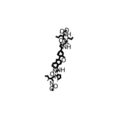 CC[C@H](C)C(/C=N/C(=O)OC)C(=O)N1[C@@H](C)CC[C@H]1c1nc2ccc3cc4c(cc3c2[nH]1)OCc1cc(-c2cnc([C@H](C)N(C(=O)C(NC(=O)OC)[C@@H](C)CC)[C@@H](C)CC)[nH]2)ccc1-4